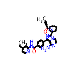 CC#CC(=O)N1C2CCC1(c1nc(-c3ccc(C(=O)Nc4cc(CC)ccn4)cc3)c3c(N)nccn13)CC2